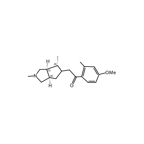 COc1ccc(C(=O)CC2C[C@H]3CN(C)C[C@H]3[C@@H]2C)c(C)c1